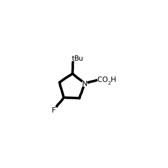 CC(C)(C)C1CC(F)CN1C(=O)O